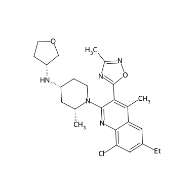 CCc1cc(Cl)c2nc(N3CC[C@@H](N[C@@H]4CCOC4)C[C@H]3C)c(-c3nc(C)no3)c(C)c2c1